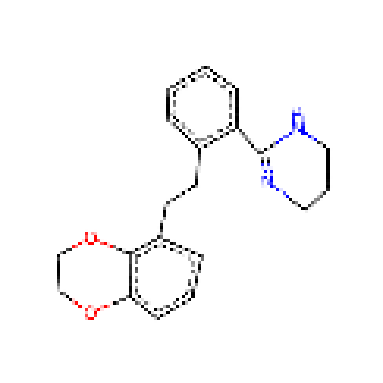 c1ccc(C2=NCCCN2)c(CCc2cccc3c2OCCO3)c1